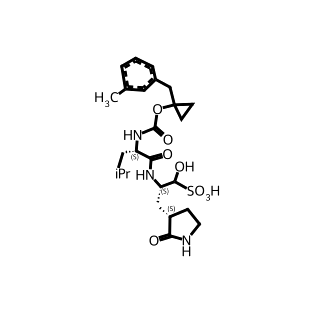 Cc1cccc(CC2(OC(=O)N[C@@H](CC(C)C)C(=O)N[C@@H](C[C@@H]3CCNC3=O)C(O)S(=O)(=O)O)CC2)c1